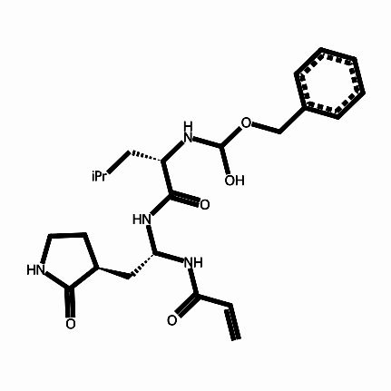 C=CC(=O)N[C@H](C[C@@H]1CCNC1=O)NC(=O)[C@H](CC(C)C)NC(O)OCc1ccccc1